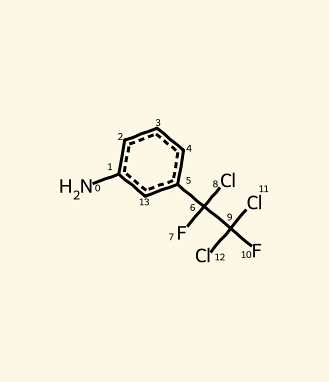 Nc1cccc(C(F)(Cl)C(F)(Cl)Cl)c1